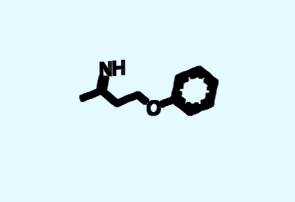 CC(=N)CCOc1ccccc1